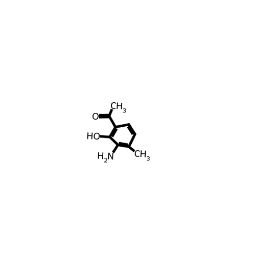 CC(=O)c1ccc(C)c(N)c1O